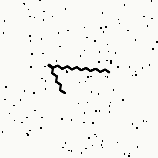 C=C(CCCCCC)CCCCCCCCCCCC